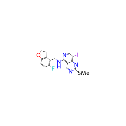 CSc1ncc2c(NCc3c(F)ccc4c3CCO4)ncc(I)c2n1